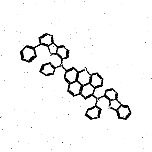 c1ccc(-c2cccc3c2sc2c(N(c4ccccc4)c4cc5c6c(ccc7cc(N(c8ccccc8)c8cccc9c8sc8ccccc89)c8cccc(c8c76)O5)c4)cccc23)cc1